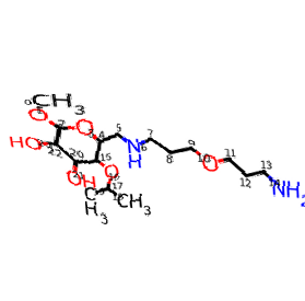 COC1OC(CNCCCOCCCN)C(OC(C)C)C(O)C1O